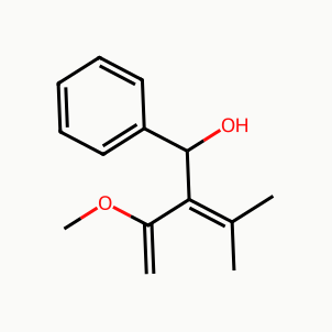 C=C(OC)C(=C(C)C)C(O)c1ccccc1